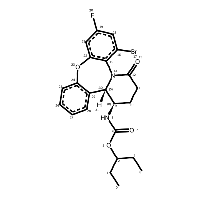 CCC(CC)OC(=O)N[C@@H]1CCC(=O)N2c3c(Br)cc(F)cc3Oc3ccccc3[C@@H]12